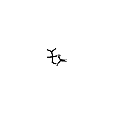 CC(C)C1(C)CSC(=O)N1